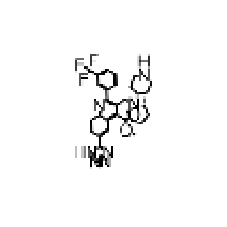 COC(=O)c1c(C[N+]2(C3CCNCC3)CCCCC2)c(-c2cccc(C(F)(F)F)c2)nc2ccc(-c3nnn[nH]3)cc12